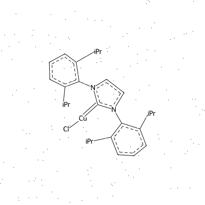 CC(C)c1cccc(C(C)C)c1-n1ccn(-c2c(C(C)C)cccc2C(C)C)[c]1=[Cu][Cl]